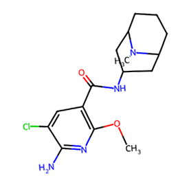 COc1nc(N)c(Cl)cc1C(=O)NC1CC2CCCC(C1)N2C